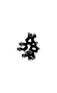 C=C(/C=C\N)c1cc(C)c(Cl)c2sc3c(c12)CN(C(=O)C(C)(C)N)CC3